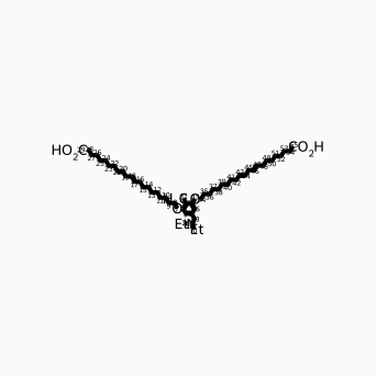 CCN(CC)Cc1cc(OCCCCCCCCCC=CCC=CCCCCCCCC(=O)O)c(C)c(OCCCCCCCCCC=CCC=CCCCCCCCC(=O)O)c1